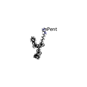 CCCCC/C=C\C/C=C\CCCCCCCC(=O)OCC(COC(=O)COc1ccncc1)COC(=O)CC12CC3CC(CC(C3)C1)C2